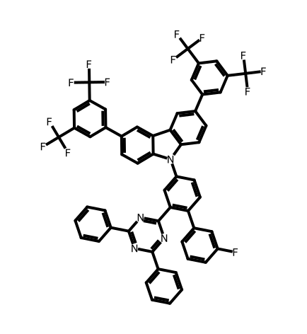 Fc1cccc(-c2ccc(-n3c4ccc(-c5cc(C(F)(F)F)cc(C(F)(F)F)c5)cc4c4cc(-c5cc(C(F)(F)F)cc(C(F)(F)F)c5)ccc43)cc2-c2nc(-c3ccccc3)nc(-c3ccccc3)n2)c1